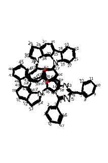 c1ccc(-c2nc(-c3ccccc3)nc(-c3cc(-n4c5ccccc5c5ccc6ccn(-c7ccccc7)c6c54)cc(-n4c5ccccc5c5ccc6ccn(-c7ccccc7)c6c54)c3)n2)cc1